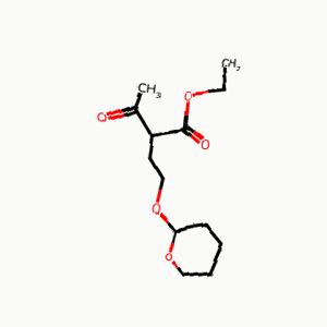 CCOC(=O)C(CCOC1CCCCO1)C(C)=O